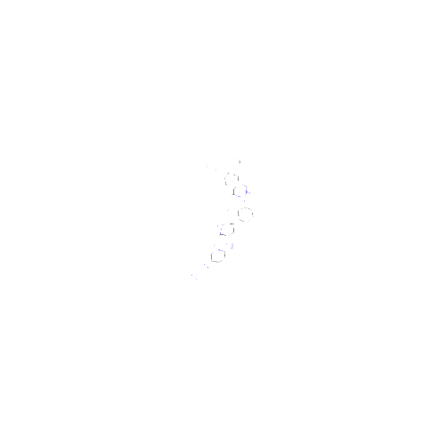 CC1CN(C2COC2)CCN1c1ccc(Nc2cc(-c3cc(F)cc(-n4ncc5cc(C(C)(C)C)cc(F)c5c4=O)c3C=O)cn(C)c2=O)nc1